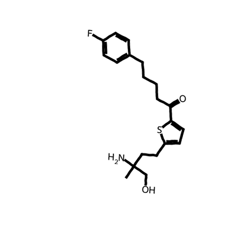 CC(N)(CO)CCc1ccc(C(=O)CCCCc2ccc(F)cc2)s1